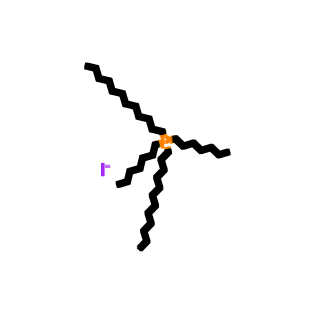 CCCCCCCCCCCC[P+](CCCCCCC)(CCCCCCC)CCCCCCCCCCCC.[I-]